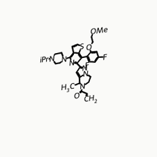 C=CC(=O)N1CCn2nc(-c3nc(N4CCN(C(C)C)CC4)c4ccsc4c3-c3c(F)cc(F)cc3OCCOC)cc2C1C